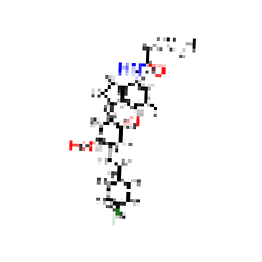 Cc1cc(NC(=O)CC(=O)O)c2c(c1Oc1ccc(O)c(CCc3ccc(F)cc3)c1)CCC2